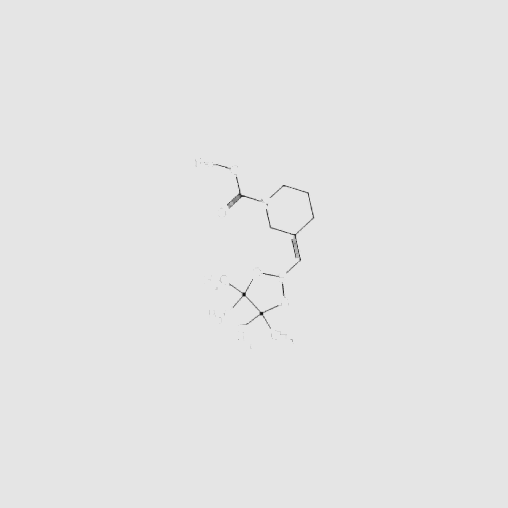 CC(C)(C)OC(=O)N1CCC/C(=C/B2OC(C)(C)C(C)(C)O2)C1